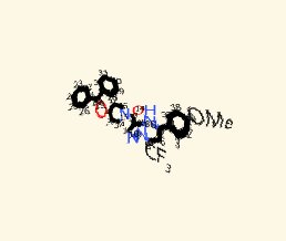 COc1ccc(C2CC(C(F)(F)F)n3ncc(C(=O)N4CCC(OC(c5ccccc5)c5ccccc5)CC4)c3N2)cc1